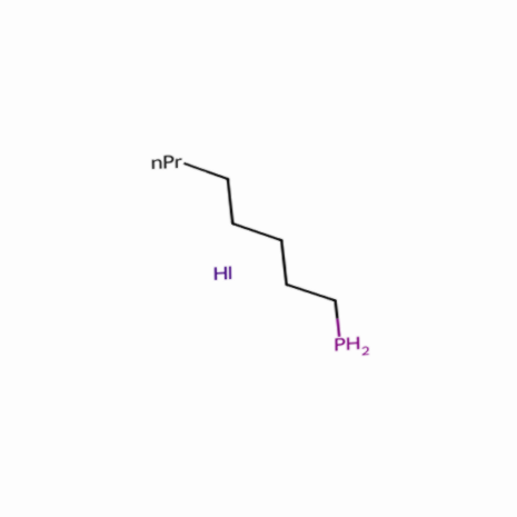 CCCCCCCCP.I